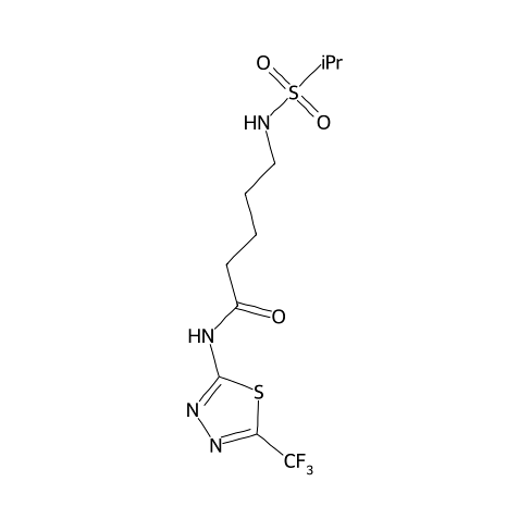 CC(C)S(=O)(=O)NCCCCC(=O)Nc1nnc(C(F)(F)F)s1